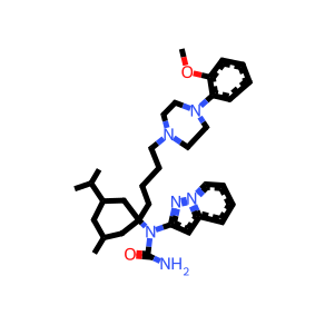 COc1ccccc1N1CCN(CCCCC2(N(C(N)=O)c3cc4ccccn4n3)CC(C)CC(C(C)C)C2)CC1